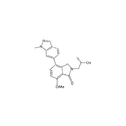 C=C(C#N)CN1Cc2c(-c3ccc4cnn(C)c4c3)ccc(OC)c2C1=O